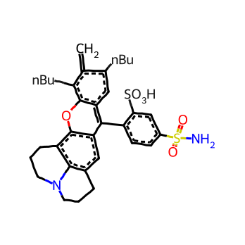 C=c1c(CCCC)cc2c(c1CCCC)Oc1c(cc3c4c1CCCN4CCC3)C=2c1ccc(S(N)(=O)=O)cc1S(=O)(=O)O